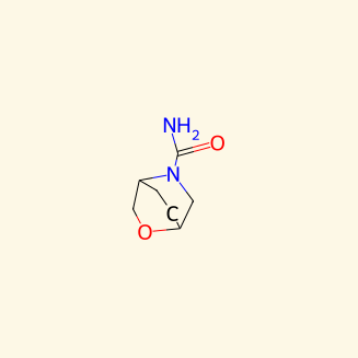 NC(=O)N1CC2CCC1CO2